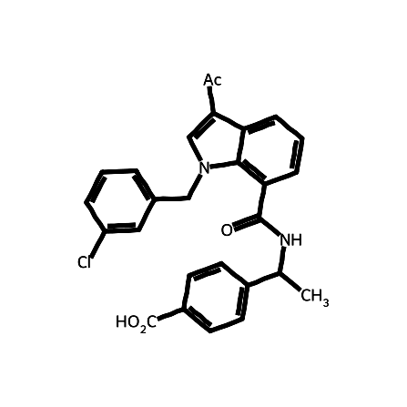 CC(=O)c1cn(Cc2cccc(Cl)c2)c2c(C(=O)NC(C)c3ccc(C(=O)O)cc3)cccc12